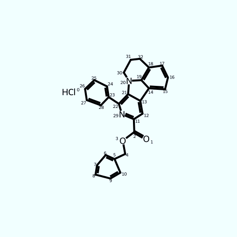 Cl.O=C(OCc1ccccc1)c1cc2c3cccc4c3n(c2c(-c2ccccc2)n1)CCC4